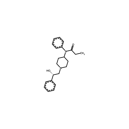 CCC(=O)N(c1ccccc1)C1CCN(C[C@@H](O)c2ccccc2)CC1